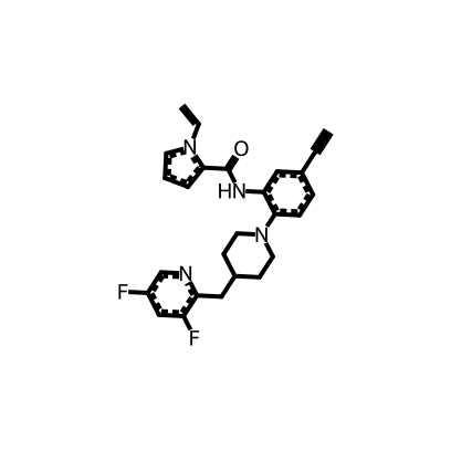 C#Cc1ccc(N2CCC(Cc3ncc(F)cc3F)CC2)c(NC(=O)c2cccn2C=C)c1